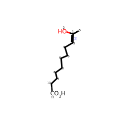 C/C(O)=C/CCCCCCCC(=O)O